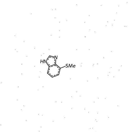 CSc1cccc2[nH]cnc12